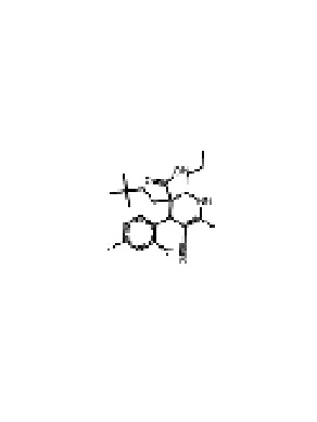 CCCC1NC(C)=C(C#N)C(c2ccc(F)cc2Cl)C1(CCC(C)(C)C)C(=O)O